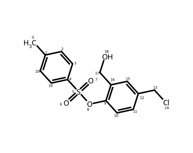 Cc1ccc(S(=O)(=O)Oc2ccc(CCl)cc2CO)cc1